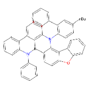 CCCCc1ccc(N2c3cc(C)cc4c3B(c3ccc5oc6ccccc6c5c32)N(c2ccccc2)c2ccccc2-4)c(-c2ccccc2)c1